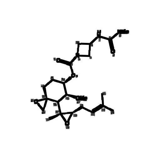 CNC(=O)NC1CN(C(=O)O[C@@H]2CC[C@]3(CO3)C([C@@]3(C)O[C@@H]3CC=C(C)C)[C@@H]2OC)C1